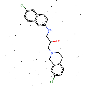 OC(CNc1ccc2cc(Cl)ccc2c1)CN1CCc2ccc(Cl)cc2C1